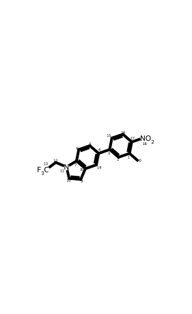 Cc1cc(-c2ccc3c(ccn3CC(F)(F)F)c2)ccc1[N+](=O)[O-]